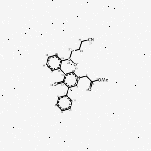 COC(=O)Cn1cc(-c2ccccc2)c(=S)c(-c2ccccc2[S+]([O-])CCCC#N)c1